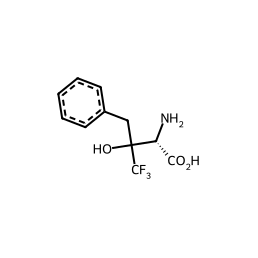 N[C@H](C(=O)O)C(O)(Cc1ccccc1)C(F)(F)F